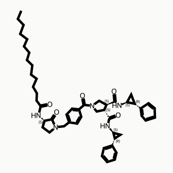 CCCCCCCCCCCCCCC(=O)N[C@H]1CCN(Cc2ccc(C(=O)N3C[C@@H](C(=O)N[C@H]4C[C@@H]4c4ccccc4)[C@H](C(=O)N[C@H]4C[C@@H]4c4ccccc4)C3)cc2)C1=O